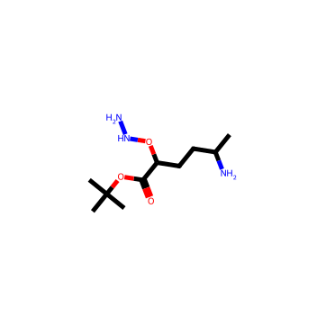 CC(N)CCC(ONN)C(=O)OC(C)(C)C